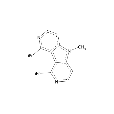 CC(C)c1nccc2c1c1c(C(C)C)nccc1n2C